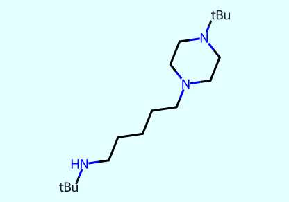 CC(C)(C)NCCCCCN1CCN(C(C)(C)C)CC1